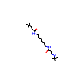 CC(C)(C)CCC(=O)NCCCCCCNC(=O)CCNC(C)(C)C